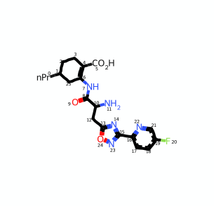 CCCC1CCC(C(=O)O)=C(NC(=O)C(N)Cc2nc(-c3ccc(F)cn3)no2)C1